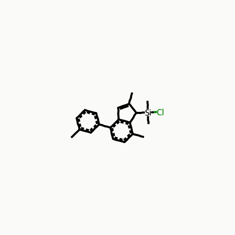 CC1=Cc2c(-c3cccc(C)c3)ccc(C)c2C1[Si](C)(C)Cl